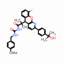 COc1ccc(CNC(=O)NC(=O)C(C)(C)C2c3ccc(-c4ccc(C(C)(C)O)cc4)nc3Oc3c(F)cccc32)cc1